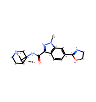 CCn1nc(C(=O)N[C@@H]2CN3CCC2CC3)c2ccc(C3=NCCO3)cc21